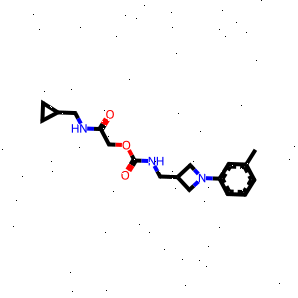 Cc1cccc(N2CC(CNC(=O)OCC(=O)NCC3CC3)C2)c1